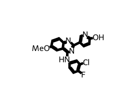 COc1ccc2nc(-c3ccc(O)nc3)nc(Nc3ccc(F)c(Cl)c3)c2c1